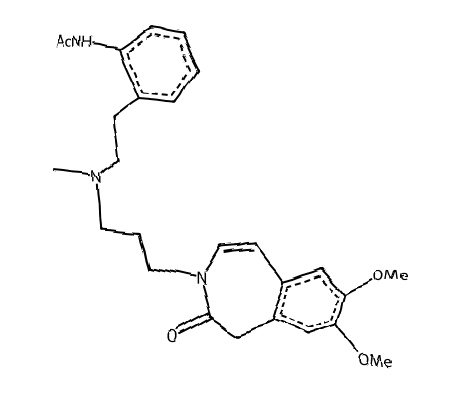 COc1cc2c(cc1OC)CC(=O)N(CCCN(C)CCc1ccccc1NC(C)=O)C=C2